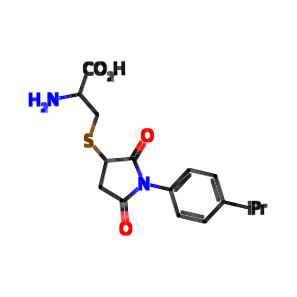 CC(C)c1ccc(N2C(=O)CC(SCC(N)C(=O)O)C2=O)cc1